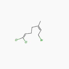 CC(=CCBr)CCC=C(Cl)Cl